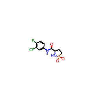 CN(C(=O)C1CCS(=O)(=O)N1)c1ccc(F)c(Cl)c1